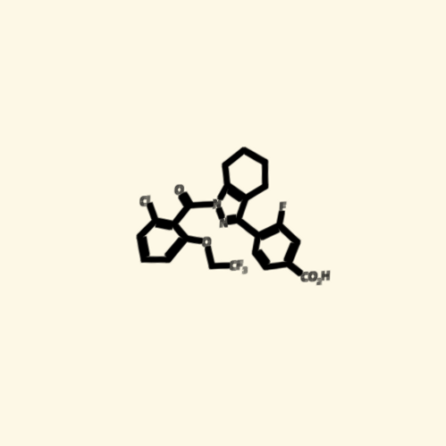 O=C(O)c1ccc(-c2nn(C(=O)c3c(Cl)cccc3OCC(F)(F)F)c3c2CCCC3)c(F)c1